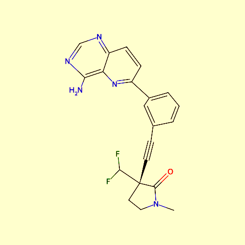 CN1CC[C@](C#Cc2cccc(-c3ccc4ncnc(N)c4n3)c2)(C(F)F)C1=O